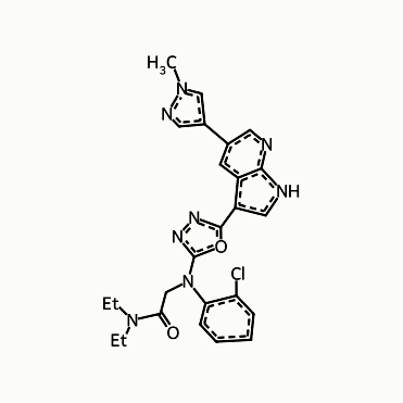 CCN(CC)C(=O)CN(c1nnc(-c2c[nH]c3ncc(-c4cnn(C)c4)cc23)o1)c1ccccc1Cl